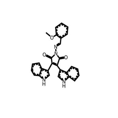 COc1ccccc1C=NN1C(=O)C(c2c[nH]c3ccccc23)=C(c2c[nH]c3ccccc23)C1=O